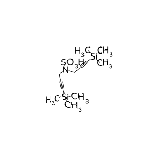 C[Si](C)(C)C#CCN(CC#C[Si](C)(C)C)S(=O)(=O)O